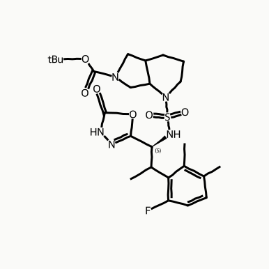 Cc1ccc(F)c(C(C)[C@H](NS(=O)(=O)N2CCCC3CN(C(=O)OC(C)(C)C)CC32)c2n[nH]c(=O)o2)c1C